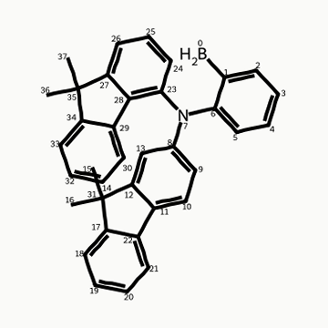 Bc1ccccc1N(c1ccc2c(c1)C(C)(C)c1ccccc1-2)c1cccc2c1-c1ccccc1C2(C)C